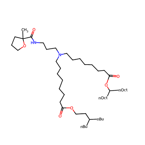 CCCCCCCCC(CCCCCCCC)OC(=O)CCCCCCCN(CCCCCCCC(=O)OCCC(CCCC)CCCC)CCCNC(=O)C1(C)CCCO1